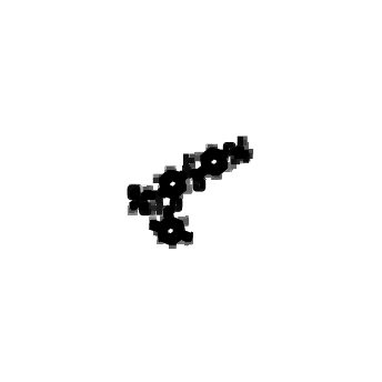 Cc1ccc(C)c(COc2cc(NC(=O)c3ccc(OC(F)(F)F)cc3)ccc2NCS(C)(=O)=O)c1